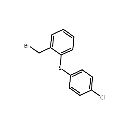 Clc1ccc(Sc2ccccc2CBr)cc1